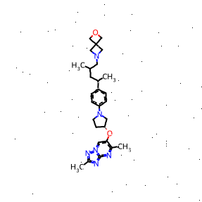 Cc1nc2nc(C)c(O[C@@H]3CCN(c4ccc(C(C)CC(C)CN5CC6(COC6)C5)cc4)C3)cn2n1